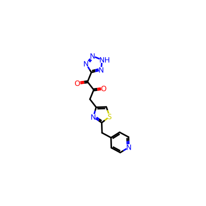 O=C(Cc1csc(Cc2ccncc2)n1)C(=O)c1nn[nH]n1